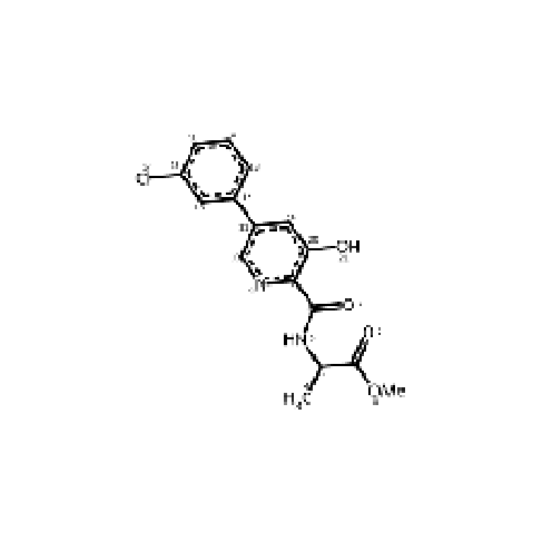 COC(=O)C(C)NC(=O)c1ncc(-c2cccc(Cl)c2)cc1O